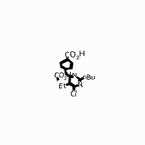 CC(=O)O.CCCCc1nc(Cl)c(CC)c(Cc2ccc(C(=O)O)cc2)n1